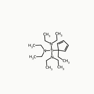 CC[N](CC)[Ti]([N](CC)CC)([N](CC)CC)[C]1(CC)C=CC=C1